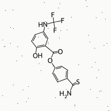 NC(=S)c1ccc(OC(=O)c2cc(NC(F)(F)F)ccc2O)cc1